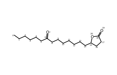 CCCCCCC(=O)CCCCCCCC1CCC(=O)O1